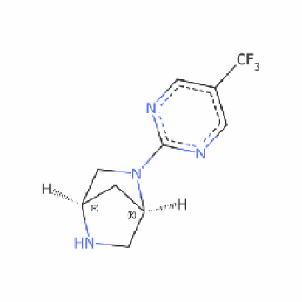 FC(F)(F)c1cnc(N2C[C@H]3C[C@@H]2CN3)nc1